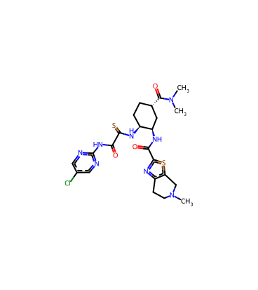 CN1CCc2nc(C(=O)N[C@@H]3C[C@@H](C(=O)N(C)C)CC[C@@H]3NC(=S)C(=O)Nc3ncc(Cl)cn3)sc2C1